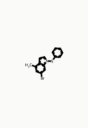 Cc1cc(Br)cc2c1ccn2Sc1ccccc1